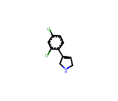 Clc1ccc(C2=CCNC2)c(Cl)c1